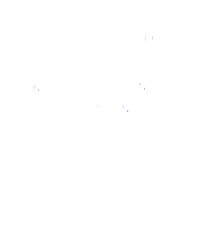 CCc1nn(-c2ccc(Cl)cc2)c(=O)c2c(N)scc12